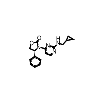 O=C1OC[C@H](c2ccccc2)N1c1ccnc(NCC2CC2)n1